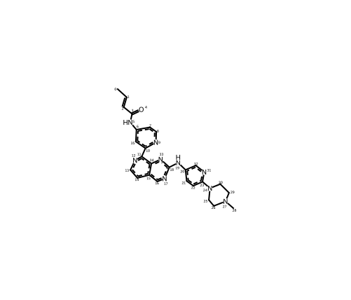 CC=CC(=O)Nc1ccnc(-c2nccc3cnc(Nc4ccc(N5CCN(C)CC5)nc4)nc23)c1